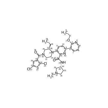 CCOc1ncccc1-c1ccc(N2CCN(C(=O)c3cc(Cl)sc3Cl)C[C@H]2CC)c(C(=O)N[C@@H]2CCN(C)C2)n1